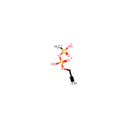 C#CCOP(=O)(O)OP(C)(=O)O